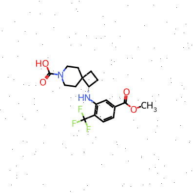 COC(=O)c1ccc(C(F)(F)F)c(N[C@H]2CCC23CCN(C(=O)O)CC3)c1